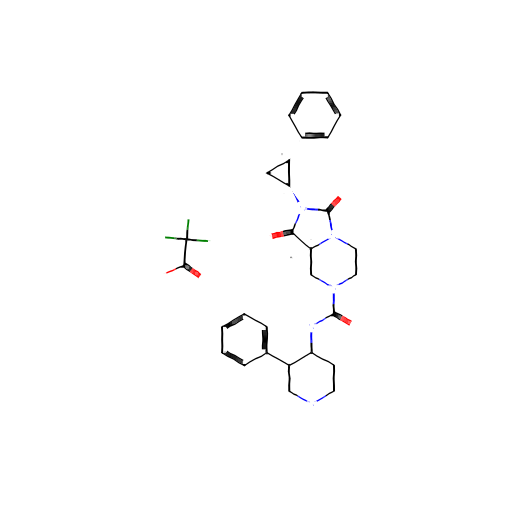 O=C(NC1CCNCC1c1ccccc1)N1CCN2C(=O)N([C@H]3C[C@@H]3c3ccccc3)C(=O)[C@@H]2C1.O=C(O)C(F)(F)F